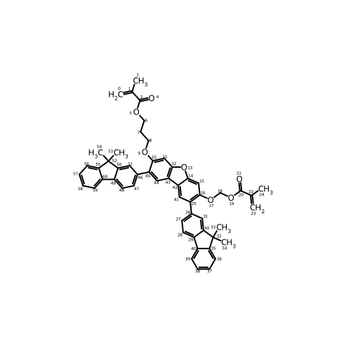 C=C(C)C(=O)OCCCOc1cc2oc3cc(OCOC(=O)C(=C)C)c(-c4ccc5c(c4)C(C)(C)c4ccccc4-5)cc3c2cc1-c1ccc2c(c1)C(C)(C)c1ccccc1-2